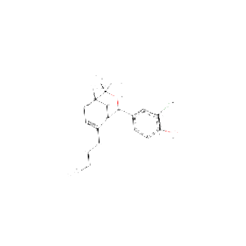 CCOC(=O)C12CC=C(CCCOC(C)=O)C(C1)C(c1ccc(O)c(F)c1)OC2(C)C